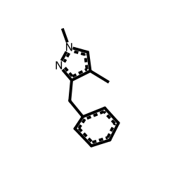 Cc1cn(C)nc1Cc1ccccc1